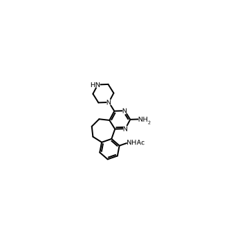 CC(=O)Nc1cccc2c1-c1nc(N)nc(N3CCNCC3)c1CCC2